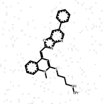 CCCNCCCSC1=C/C(=C\c2nc3ncc(-c4ccccc4)cc3o2)c2ccccc2N1C